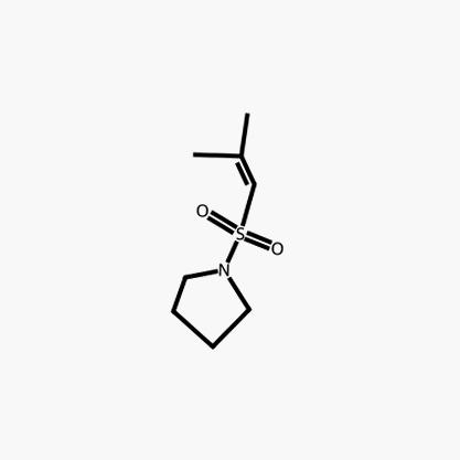 CC(C)=CS(=O)(=O)N1CCCC1